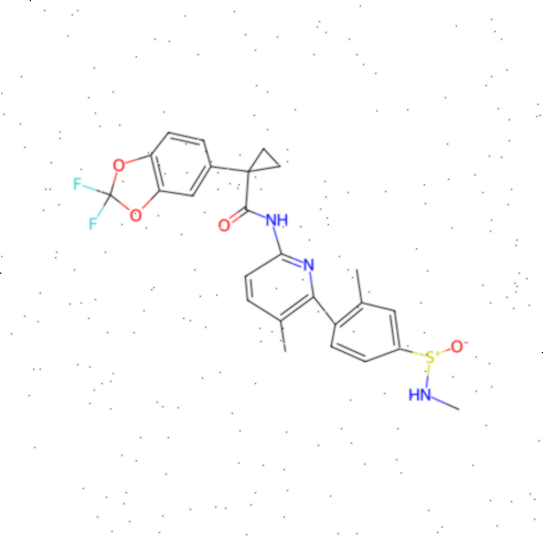 CN[S+]([O-])c1ccc(-c2nc(NC(=O)C3(c4ccc5c(c4)OC(F)(F)O5)CC3)ccc2C)c(C)c1